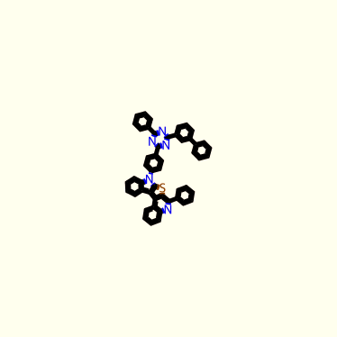 c1ccc(-c2cccc(-c3nc(-c4ccccc4)nc(-c4ccc(-n5c6ccccc6c6c7c(sc65)c(-c5ccccc5)nc5ccccc57)cc4)n3)c2)cc1